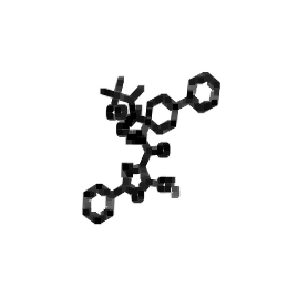 CC(C(=O)C1(NC(=O)c2nc(-c3ccccc3)oc2C(F)(F)F)C=CC(c2ccccc2)=CC1)C(C)(C)C(=O)O